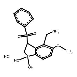 COc1ccc2c(c1CN)C(S(=O)(=O)c1ccccc1)CS2(O)O.Cl